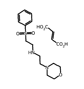 O=C(O)C=CC(=O)O.O=S(=O)(CCNCCN1CCOCC1)c1ccccc1